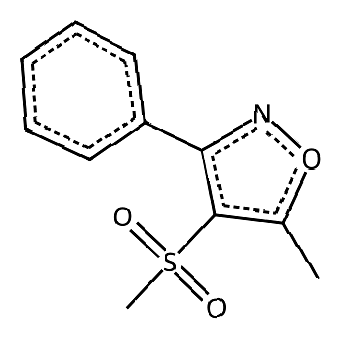 Cc1onc(-c2ccccc2)c1S(C)(=O)=O